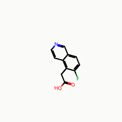 O=C(O)Cc1c(F)ccc2cnccc12